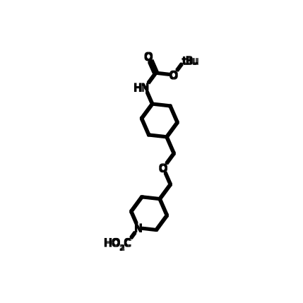 CC(C)(C)OC(=O)NC1CCC(COCC2CCN(C(=O)O)CC2)CC1